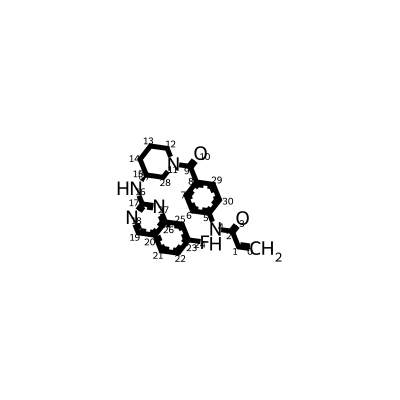 C=CC(=O)Nc1ccc(C(=O)N2CCC[C@H](Nc3ncc4ccc(F)cc4n3)C2)cc1